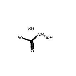 Br.NC(=O)O.[KH]